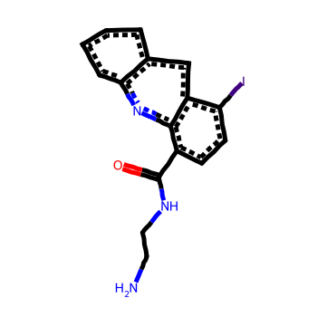 NCCNC(=O)c1ccc(I)c2cc3ccccc3nc12